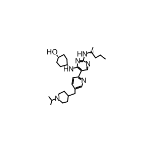 CCC[C@H](C)Nc1ncc(-c2ccc(CC3CCN(C(C)C)CC3)cn2)c(N[C@H]2CC[C@H](O)CC2)n1